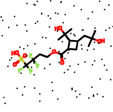 CC(C)(O)CC1CC(C(=O)OCCC(F)(F)C(F)(F)S(=O)(=O)O)C1C(C)(C)O